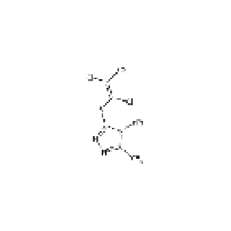 CCCn1c(SC(Cl)=C(Cl)C#N)nnc1C(F)(F)F